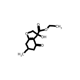 CCOC(=O)C1(O)COC2=C1C(=O)CC(C)C2